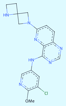 COc1ncc(Nc2ncnc3ccc(N4CC5(CCN5)C4)nc23)cc1Cl